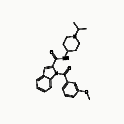 COc1cccc(C(=O)n2c(C(=O)NC3CCN(C(C)C)CC3)cc3ccccc32)c1